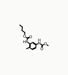 CCCCOC(=O)Nc1cc(NC(=O)OC)ccc1C